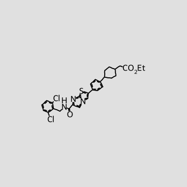 CCOC(=O)CC1CCC(c2ccc(-c3cn4cc(C(=O)NCc5c(Cl)cccc5Cl)nc4s3)cc2)CC1